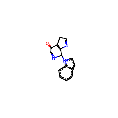 O=C1C=NC(n2ccc3ccccc32)C2=C1CC=N2